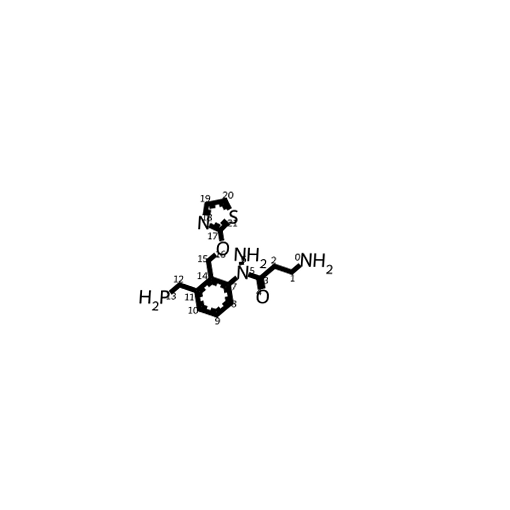 NCCC(=O)N(N)c1cccc(CP)c1COc1nccs1